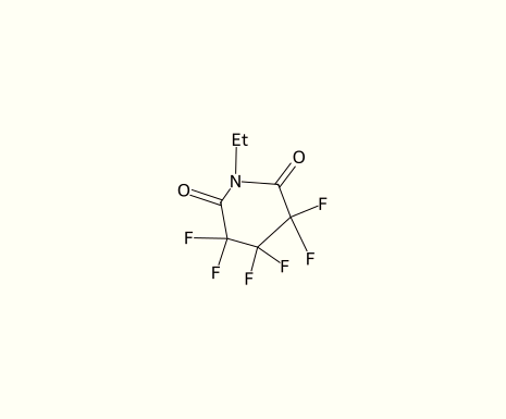 CCN1C(=O)C(F)(F)C(F)(F)C(F)(F)C1=O